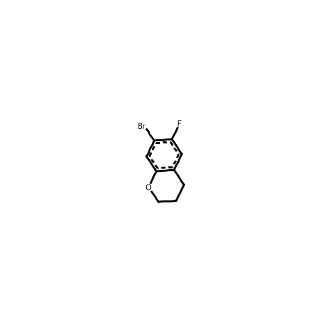 Fc1cc2c(cc1Br)OCCC2